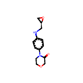 O=C1COCCN1c1ccc(NC[C@H]2CO2)cc1